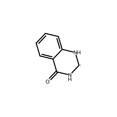 O=C1N[C]Nc2ccccc21